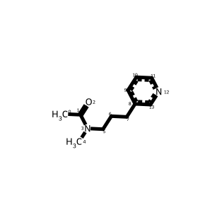 CC(=O)N(C)CCCc1cccnc1